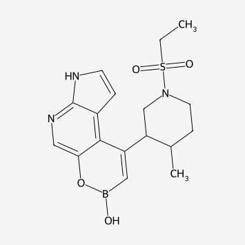 CCS(=O)(=O)N1CCC(C)C(C2=CB(O)Oc3cnc4[nH]ccc4c32)C1